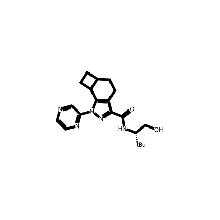 CC(C)(C)[C@@H](CO)NC(=O)c1nn(-c2cnccn2)c2c1CCC1CCC21